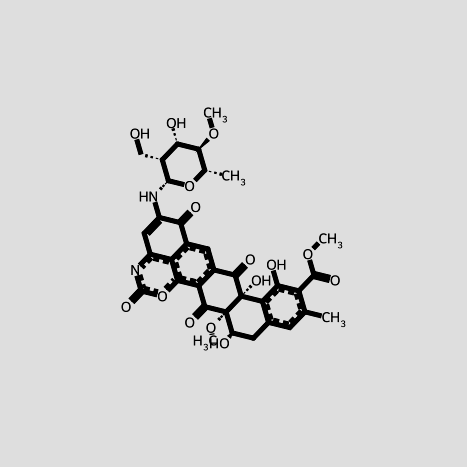 COC(=O)c1c(C)cc2c(c1O)[C@]1(O)C(=O)c3cc4c5c(nc(=O)oc5c3C(=O)[C@]1(OC)[C@H](O)C2)C=C(N[C@H]1O[C@@H](C)[C@H](OC)[C@@H](O)[C@H]1CO)C4=O